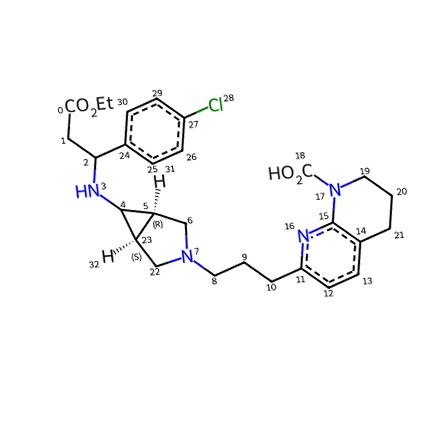 CCOC(=O)CC(NC1[C@H]2CN(CCCc3ccc4c(n3)N(C(=O)O)CCC4)C[C@@H]12)c1ccc(Cl)cc1